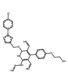 N=CC1=C(NN=N)NC(SCc2csc(-c3ccc(Cl)cc3)n2)C(C=N)=C1c1ccc(OCCO)cc1